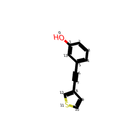 Oc1cccc(C#Cc2ccsc2)c1